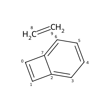 C1=Cc2ccccc21.C=C